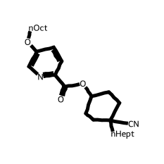 CCCCCCCCOc1ccc(C(=O)OC2CCC(C#N)(CCCCCCC)CC2)nc1